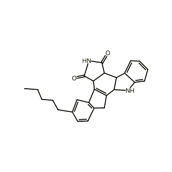 CCCCCc1ccc2c(c1)C1=C(C2)C2Nc3ccccc3C2C2C(=O)NC(=O)C12